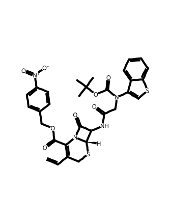 C=CC1=C(C(=O)OCc2ccc([N+](=O)[O-])cc2)N2C(=O)C(NC(=O)CN(C(=O)OC(C)(C)C)c3csc4ccccc34)[C@@H]2SC1